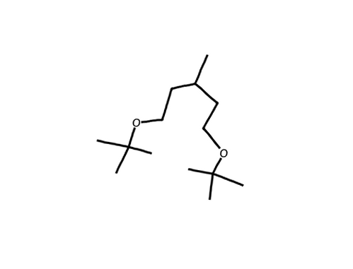 CC(CCOC(C)(C)C)CCOC(C)(C)C